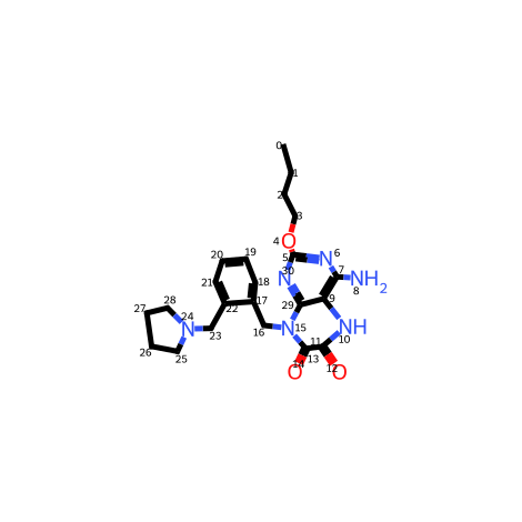 CCCCOc1nc(N)c2[nH]c(=O)c(=O)n(Cc3ccccc3CN3CCCC3)c2n1